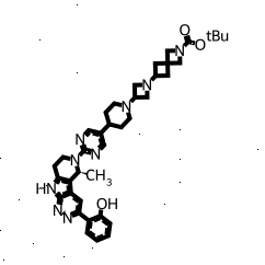 C[C@@H]1c2c([nH]c3nnc(-c4ccccc4O)cc23)CCN1c1ncc(C2CCN(C3CN(C4CC5(C4)CN(C(=O)OC(C)(C)C)C5)C3)CC2)cn1